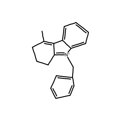 CC1=C2C(=[N+](Cc3ccccc3)c3ccccc32)CCC1